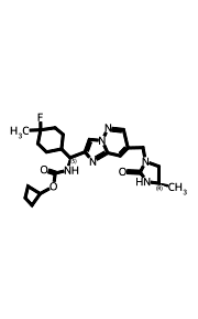 C[C@@H]1CN(Cc2cnn3cc([C@@H](NC(=O)OC4CCC4)C4CCC(C)(F)CC4)nc3c2)C(=O)N1